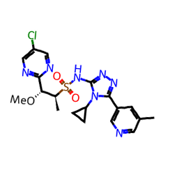 CO[C@H](c1ncc(Cl)cn1)[C@H](C)S(=O)(=O)Nc1nnc(-c2cncc(C)c2)n1C1CC1